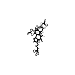 COC(=O)CCC[C@H]1CCC2C3C(C(C)C(C)[C@@]21C)[C@@]1(C)CC[C@@H](OC(C)=O)C[C@H]1C[C@H]3OC(C)=O